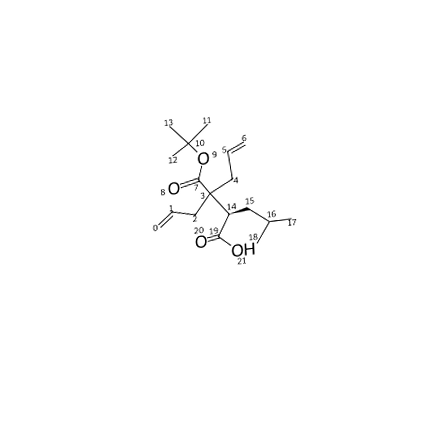 C=CCC(CC=C)(C(=O)OC(C)(C)C)[C@@H](CC(C)C)C(=O)O